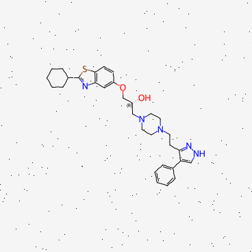 O[C@@H](COc1ccc2sc(C3CCCCC3)nc2c1)CN1CCN(CCc2n[nH]cc2-c2ccccc2)CC1